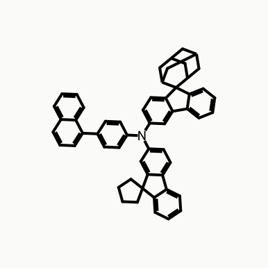 c1ccc2c(c1)-c1ccc(N(c3ccc(-c4cccc5ccccc45)cc3)c3ccc4c(c3)-c3ccccc3C43C4CC5CC(C4)CC3C5)cc1C21CCCC1